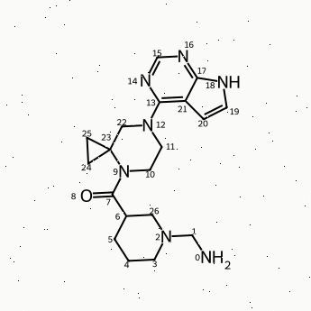 NCN1CCCC(C(=O)N2CCN(c3ncnc4[nH]ccc34)CC23CC3)C1